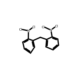 ClN(Cl)c1ccccc1Cc1ccccc1N(Cl)Cl